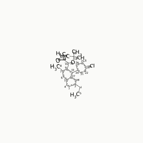 CCc1ccc2cc(C)c(C(OC(C)(C)C)C(C)=O)c(-c3ccc(Cl)cc3)c2c1